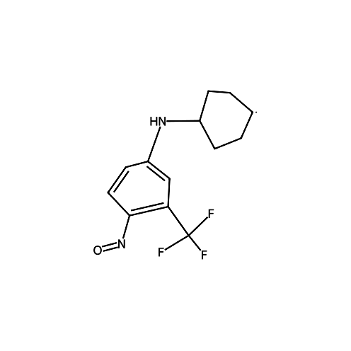 O=Nc1ccc(NC2CC[CH]CC2)cc1C(F)(F)F